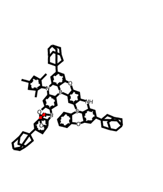 Cc1cc(C)c(N2c3cc4c(cc3B3c5cc6c(cc5Oc5cc(C78CC9CC(CC(C9)C7)C8)cc2c53)Nc2cc(C35CC7CC(CC(C7)C3)C5)cc3c2B6c2ccccc2O3)B2c3ccccc3Oc3cc(C56CC7CC(CC(C7)C5)C6)cc(c32)O4)c(C)c1